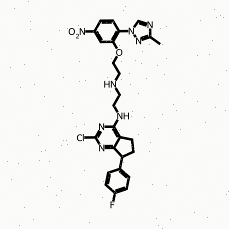 Cc1ncn(-c2ccc([N+](=O)[O-])cc2OCCNCCNc2nc(Cl)nc3c2CCC3c2ccc(F)cc2)n1